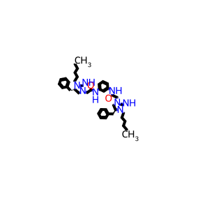 CCCCCCN1C(=N)N(CC(=O)Nc2cccc(NC(=O)CN3C[C@H](Cc4ccccc4)N(CCCCCC)C3=N)c2)C[C@@H]1Cc1ccccc1